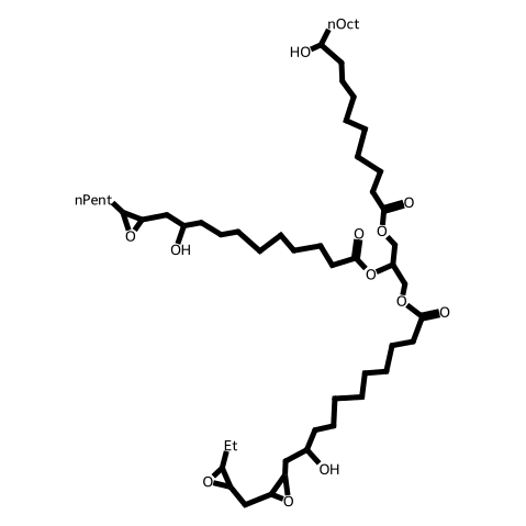 CCCCCCCCC(O)CCCCCCCCC(=O)OCC(COC(=O)CCCCCCCCC(O)CC1OC1CC1OC1CC)OC(=O)CCCCCCCCC(O)CC1OC1CCCCC